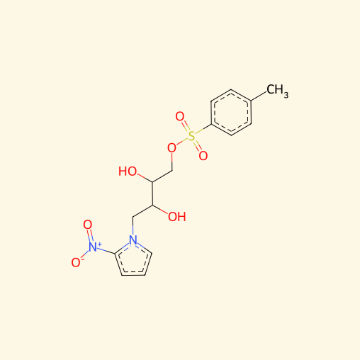 Cc1ccc(S(=O)(=O)OCC(O)C(O)Cn2cccc2[N+](=O)[O-])cc1